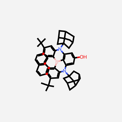 CC(C)(C)c1cc(-c2ccccc2)c2c(c1)N(C13CC4CC5CC(C1)C53C4)c1cc(O)cc3c1B2c1c(-c2ccccc2)cc(C(C)(C)C)cc1N3C12CC3CC4CC(C1)C42C3